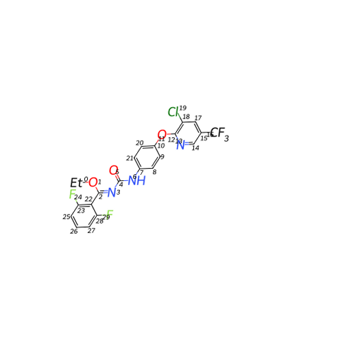 CCOC(=NC(=O)Nc1ccc(Oc2ncc(C(F)(F)F)cc2Cl)cc1)c1c(F)cccc1F